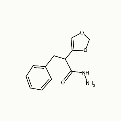 NNC(=O)C(Cc1ccccc1)C1=COCO1